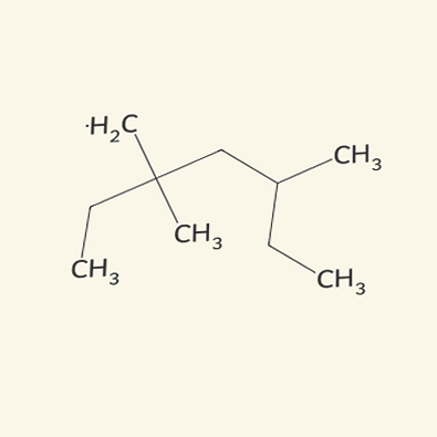 [CH2]C(C)(CC)CC(C)CC